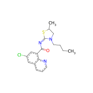 CCCCN1CC(C)SC1=NC(=O)c1cc(Cl)cc2cccnc12